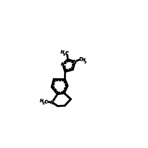 Cc1nc(-c2ccc3c(c2)CCCN3C)cn1C